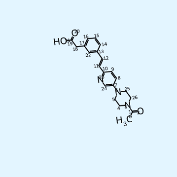 CC(=O)N1CCN(c2ccc(/C=C/c3cccc(CC(=O)O)c3)nc2)CC1